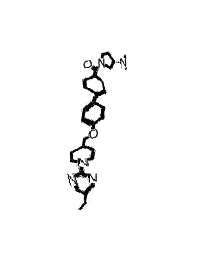 CCc1cnc(N2CCC(COc3ccc(C4=CCC(C(=O)N5CC[C@H](N(C)C)C5)CC4)cc3)CC2)nc1